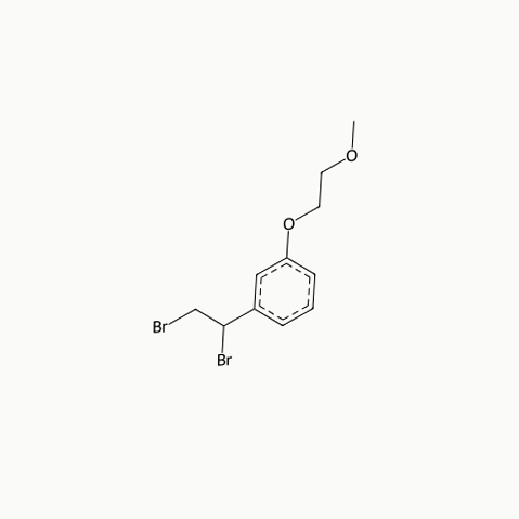 COCCOc1cccc(C(Br)CBr)c1